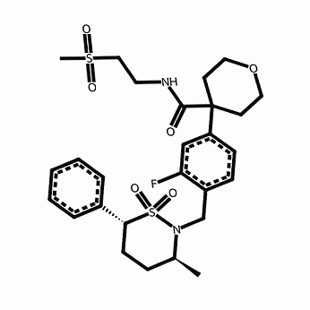 C[C@H]1CC[C@H](c2ccccc2)S(=O)(=O)N1Cc1ccc(C2(C(=O)NCCS(C)(=O)=O)CCOCC2)cc1F